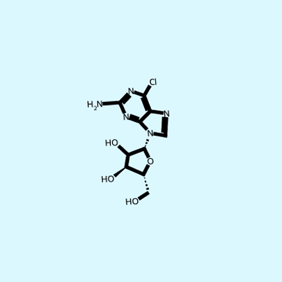 Nc1nc(Cl)c2ncn([C@@H]3O[C@H](CO)[C@@H](O)C3O)c2n1